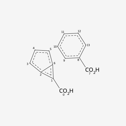 O=C(O)c1c2cccc1-2.O=C(O)c1ccccc1